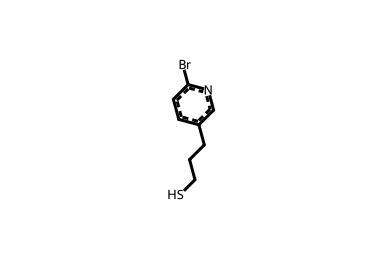 SCCCc1ccc(Br)nc1